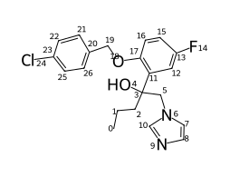 CCCC(O)(Cn1ccnc1)c1cc(F)ccc1OCc1ccc(Cl)cc1